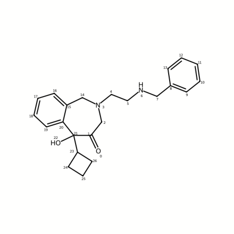 O=C1CN(CCNCc2ccccc2)Cc2ccccc2C1(O)C1CCC1